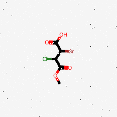 COC(=O)C(Cl)C(Br)C(=O)O